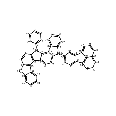 c1ccc(-n2c3ccc4oc5ccccc5c4c3c3ccc4c(c5ccccc5n4-c4ccc5c(c4)-c4cccc6cccc-5c46)c32)cc1